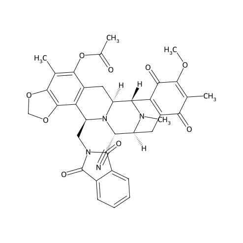 COC1=C(C)C(=O)C2=C(C1=O)[C@H]1[C@@H]3Cc4c(OC(C)=O)c(C)c5c(c4[C@H](CN4C(=O)c6ccccc6C4=O)N3[C@@H](C#N)[C@H](C2)N1C)OCO5